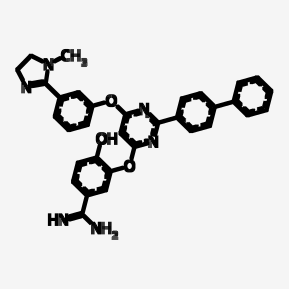 CN1CCN=C1c1cccc(Oc2cc(Oc3cc(C(=N)N)ccc3O)nc(-c3ccc(-c4ccccc4)cc3)n2)c1